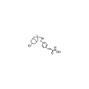 CCC1CC2CC(C1)CC(C)(CN(C)Cc1ccc(/C=C/C(=O)NO)cc1)C2